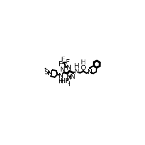 CSN1CCC(Nc2nc(C(F)(F)F)nc3c(NCC(O)CN4CCc5ccccc5C4)nn(PI)c23)CC1